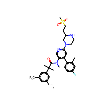 Cc1cc(F)ccc1-c1cc(N2CCNC(CCS(C)(=O)=O)C2)ncc1N(C)C(=O)C(C)(C)c1cc(C(F)(F)F)cc(C(F)(F)F)c1